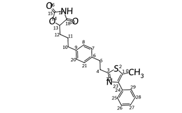 Cc1sc(CCc2ccc(CCCC3OC(=O)NC3=O)cc2)nc1-c1ccccc1